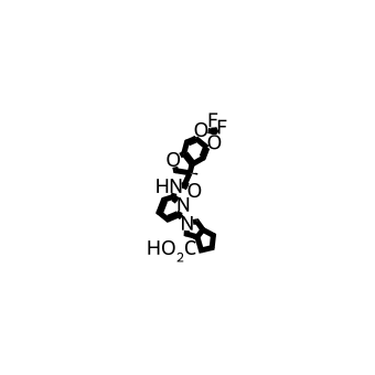 C[C@]1(C(=O)Nc2cccc(N3CC4CCCC4(C(=O)O)C3)n2)COc2cc3c(cc21)OC(F)(F)O3